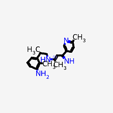 C/C(=C\C(=N)c1ccc(C)nc1)NCC(C)c1cccc(N)c1C